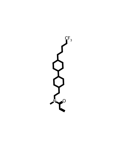 C=CC(=O)N(C)CCC1CCC(C2CCC(CCCCC(F)(F)F)CC2)CC1